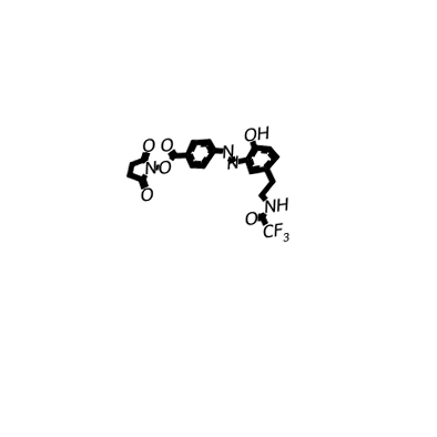 O=C(ON1C(=O)CCC1=O)c1ccc(/N=N/c2cc(CCNC(=O)C(F)(F)F)ccc2O)cc1